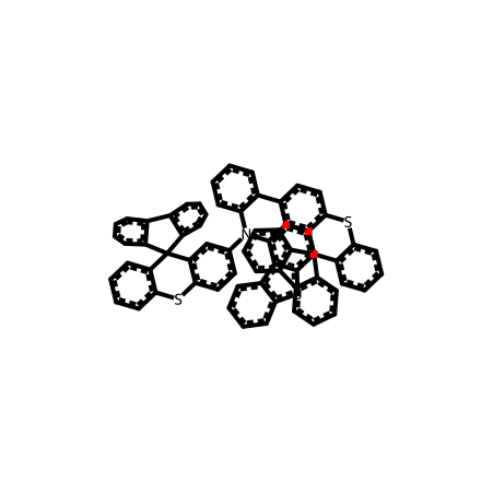 c1ccc2c(c1)Sc1ccc(-c3ccccc3N(c3ccc4c(c3)C3(c5ccccc5S4)c4ccccc4-c4ccccc43)c3cccc4sc5ccccc5c34)cc1C21c2ccccc2-c2ccccc21